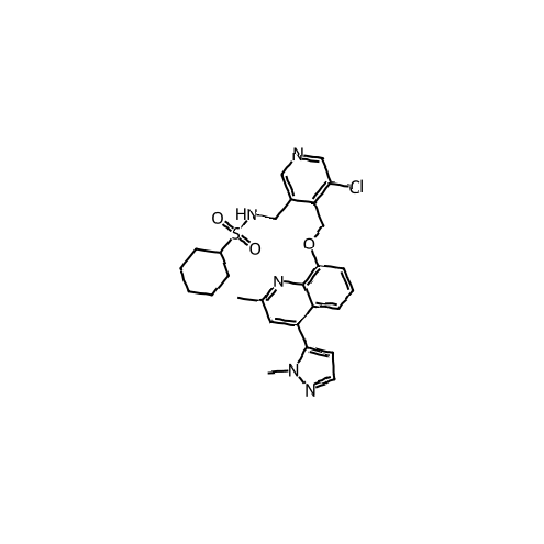 Cc1cc(-c2ccnn2C)c2cccc(OCc3c(Cl)cncc3CNS(=O)(=O)C3CCCCC3)c2n1